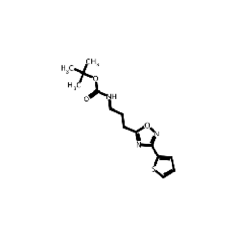 CC(C)(C)OC(=O)NCCCc1nc(-c2cccs2)no1